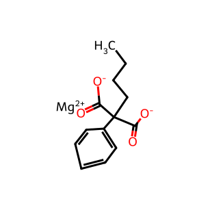 CCCCC(C(=O)[O-])(C(=O)[O-])c1ccccc1.[Mg+2]